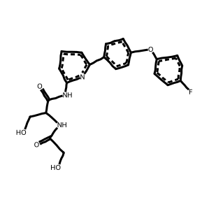 O=C(CO)NC(CO)C(=O)Nc1cccc(-c2ccc(Oc3ccc(F)cc3)cc2)n1